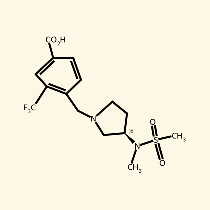 CN([C@@H]1CCN(Cc2ccc(C(=O)O)cc2C(F)(F)F)C1)S(C)(=O)=O